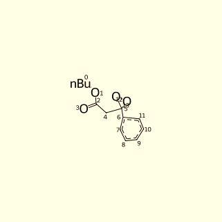 CCCCOC(=O)CC1(c2ccccc2)OO1